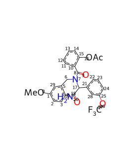 COc1cccc(CN(C(=O)c2ccccc2OC(C)=O)C(C(N)=O)c2cccc(OC(F)(F)F)c2)c1